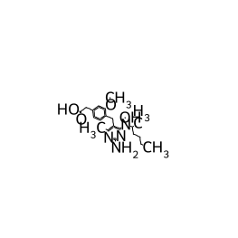 CCCCC(C)N(O)c1nc(N)nc(C)c1Cc1ccc(CC(=O)O)cc1OC